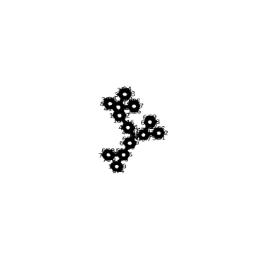 c1ccc(-c2ccc(-c3ccc(N(c4ccc(-c5ccc6c(c5)c(-c5ccccc5)c(-c5ccccc5)c5ccccc56)cc4)c4ccc(-c5ccccc5)c(-c5ccccc5)c4)cc3)cc2-c2ccccc2)cc1